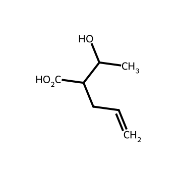 C=CCC(C(=O)O)C(C)O